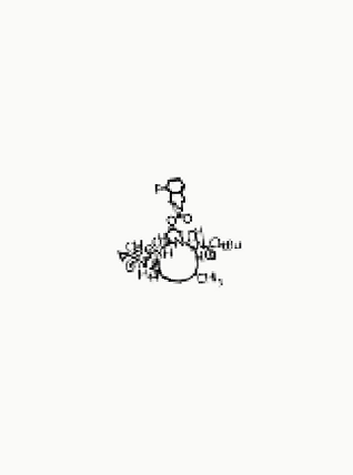 CC[C@@H]1CC(C)CCC=C[C@@H]2C[C@@]2(C(=O)NS(=O)(=O)C2(C)CC2)NC(=O)[C@@H]2C[C@@H](OC(=O)N3Cc4cccc(F)c4C3)CN2C(=O)[C@H]1NC(=O)OC(C)(C)C